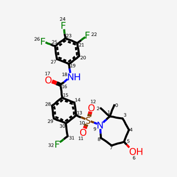 CC1(C)CCC(O)CCN1S(=O)(=O)c1cc(C(=O)Nc2cc(F)c(F)c(F)c2)ccc1CF